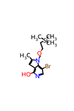 Cc1cc2c(O)ncc(Br)c2n1COCC[Si](C)(C)C